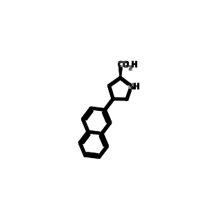 O=C(O)[C@@H]1CC(c2ccc3ccccc3c2)CN1